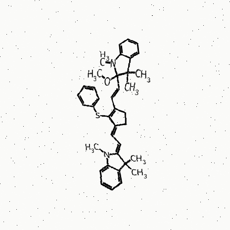 COC1(/C=C/C2=C(Sc3ccccc3)C(=C/C=C3\N(C)c4ccccc4C3(C)C)/CC2)N(C)c2ccccc2C1(C)C